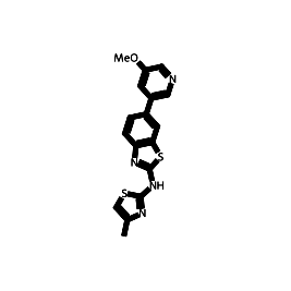 COc1cncc(-c2ccc3nc(Nc4nc(C)cs4)sc3c2)c1